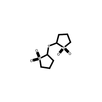 O=S1(=O)CCCC1SC1CCCS1(=O)=O